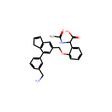 CC(=O)NC(C(=O)O)c1ccccc1OCc1cc2c(c(-c3cccc(CN)c3)c1)CC=C2